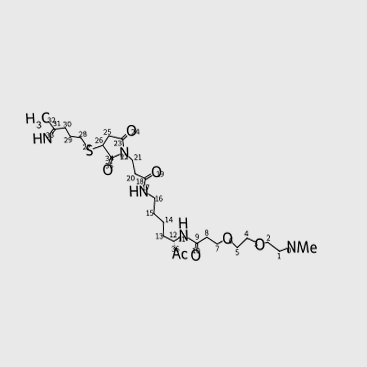 CNCCOCCOCCC(=O)N[C@@H](CCCCNC(=O)CCN1C(=O)CC(SCCCC(C)=N)C1=O)C(C)=O